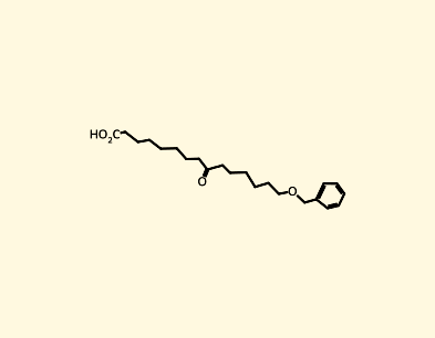 O=C(O)CCCCCCCC(=O)CCCCCCOCc1ccccc1